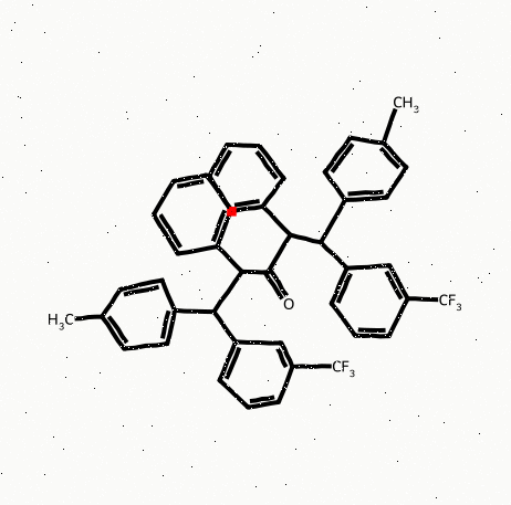 Cc1ccc(C(c2cccc(C(F)(F)F)c2)C(C(=O)C(c2ccccc2)C(c2ccc(C)cc2)c2cccc(C(F)(F)F)c2)c2ccccc2)cc1